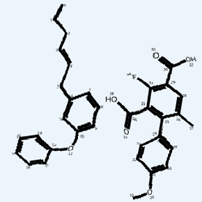 CCCC=CCc1cccc(Oc2ccccc2)c1.COc1ccc(-c2c(C)cc(C(=O)O)c(F)c2C(=O)O)cc1